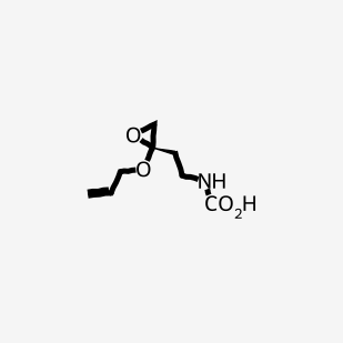 C=CCO[C@@]1(CCNC(=O)O)CO1